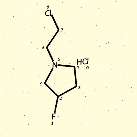 Cl.FC1CCN(CCCl)C1